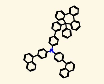 c1ccc(C2(c3cccc(-c4ccc(N(c5ccc(-c6cccc7ccccc67)cc5)c5ccc(-c6cccc7ccccc67)cc5)cc4)c3)c3ccccc3-c3ccccc3-c3ccccc32)cc1